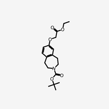 CCOC(=O)COc1ccc2c(c1)CCN(C(=O)OC(C)(C)C)CC2